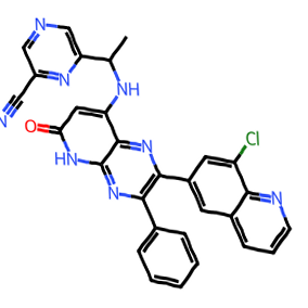 CC(Nc1cc(=O)[nH]c2nc(-c3ccccc3)c(-c3cc(Cl)c4ncccc4c3)nc12)c1cncc(C#N)n1